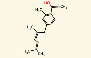 C=C(O)c1ccc(C/C(C)=C\C=C(C)C)cc1C